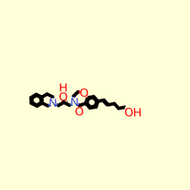 O=C1c2ccc(C=CCCCO)cc2OCCN1C[C@H](O)CN1CCc2ccccc2C1